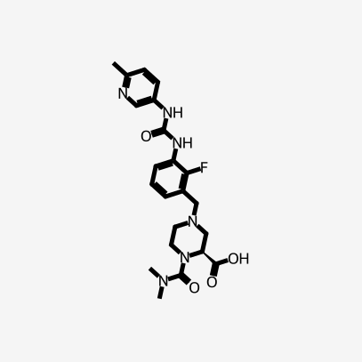 Cc1ccc(NC(=O)Nc2cccc(CN3CCN(C(=O)N(C)C)[C@H](C(=O)O)C3)c2F)cn1